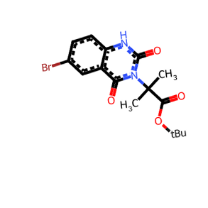 CC(C)(C)OC(=O)C(C)(C)n1c(=O)[nH]c2ccc(Br)cc2c1=O